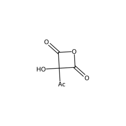 CC(=O)C1(O)C(=O)OC1=O